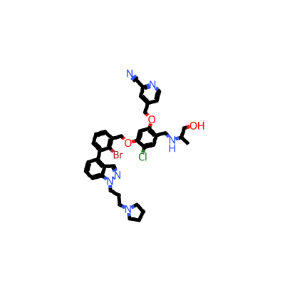 CC(CO)NCc1cc(Cl)c(OCc2cccc(-c3cccc4c3cnn4CCCN3CCCC3)c2Br)cc1OCc1ccnc(C#N)c1